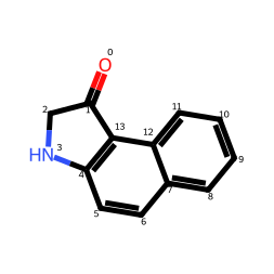 O=C1CNc2ccc3ccccc3c21